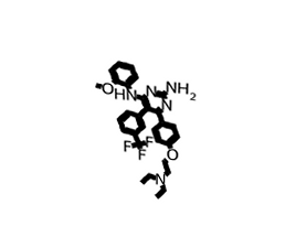 CCN(CC)CCOc1ccc(-c2nc(N)nc(Nc3ccccc3OC)c2-c2cccc(C(F)(F)F)c2)cc1